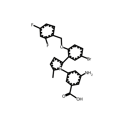 Cc1ccc(-c2cc(Br)ccc2OCc2ccc(F)cc2F)n1-c1cc(N)cc(C(=O)O)c1